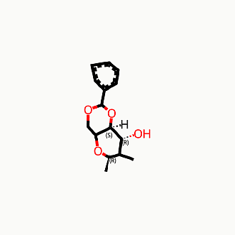 CC1[C@@H](O)[C@@H]2OC(c3ccccc3)OCC2O[C@@H]1C